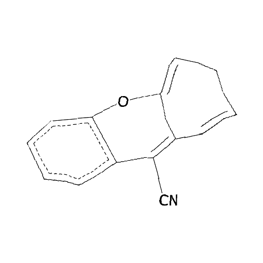 N#CC1=C2C=CCC=C2Oc2ccccc21